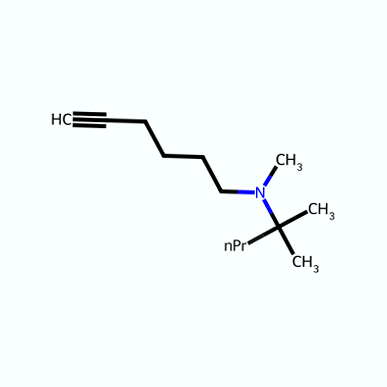 C#CCCCCN(C)C(C)(C)CCC